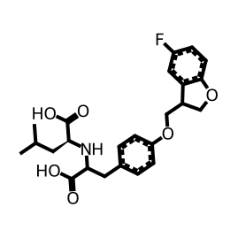 CC(C)C[C@H](NC(Cc1ccc(OCC2COc3ccc(F)cc32)cc1)C(=O)O)C(=O)O